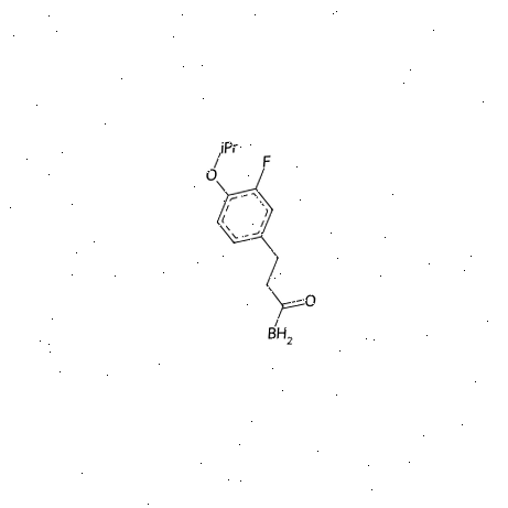 BC(=O)CCc1ccc(OC(C)C)c(F)c1